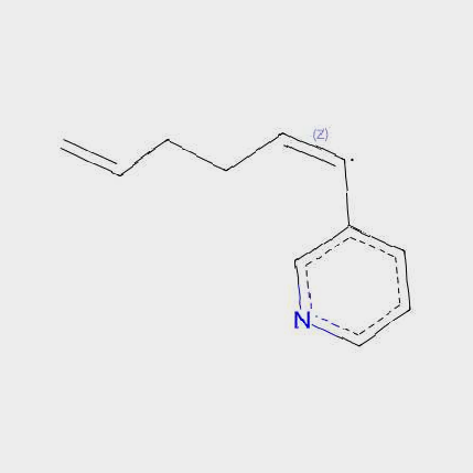 C=CCC/C=[C]\c1cccnc1